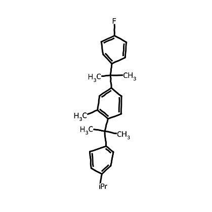 Cc1cc(C(C)(C)c2ccc(F)cc2)ccc1C(C)(C)c1ccc(C(C)C)cc1